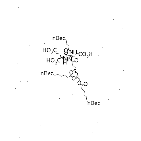 CCCCCCCCCCCCCCCC(=O)OC[C@H](CSCCC(=O)N[C@@](CCC(=O)O)(NC(=O)CCCCCCCCCCCCC)C(=O)N[C@H](CCC(=O)O)C(=O)O)OC(=O)CCCCCCCCCCCCCCC